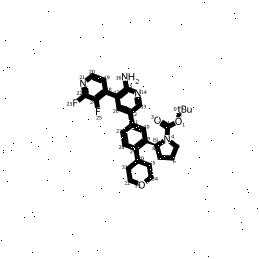 CC(C)(C)OC(=O)N1CCC[C@H]1c1cc(-c2cnc(N)c(-c3ccnc(F)c3F)c2)ccc1C1CCOCC1